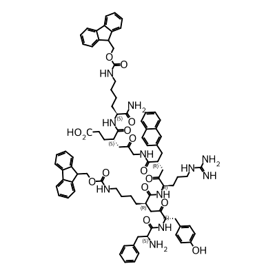 N=C(N)NCCC[C@@H](NC(=O)[C@H](CCCCNC(=O)OCC1c2ccccc2-c2ccccc21)CC(=O)[C@H](Cc1ccc(O)cc1)NC(=O)[C@@H](N)Cc1ccccc1)C(=O)C[C@@H](Cc1ccc2ccccc2c1)C(=O)NCC(=O)C[C@H](CCC(=O)O)C(=O)N[C@@H](CCCCNC(=O)OCC1c2ccccc2-c2ccccc21)C(N)=O